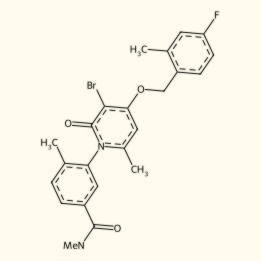 CNC(=O)c1ccc(C)c(-n2c(C)cc(OCc3ccc(F)cc3C)c(Br)c2=O)c1